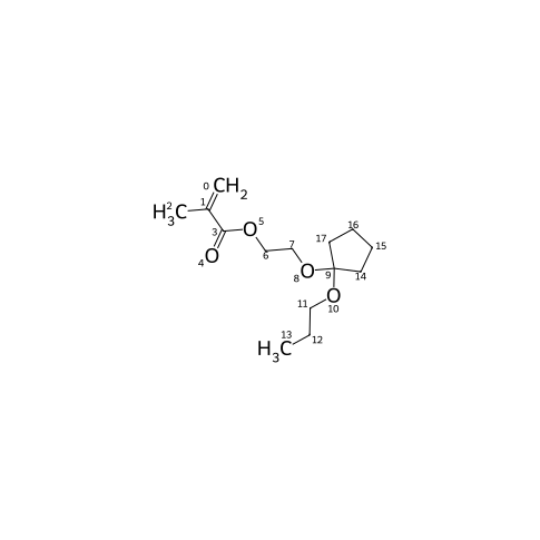 C=C(C)C(=O)OCCOC1(OCCC)CCCC1